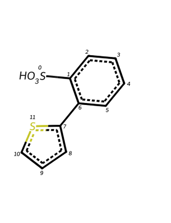 O=S(=O)(O)c1ccccc1-c1cccs1